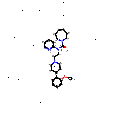 COc1ccccc1C1CCN(CCN(C(=O)N2CCCCCC2)c2ccccn2)CC1